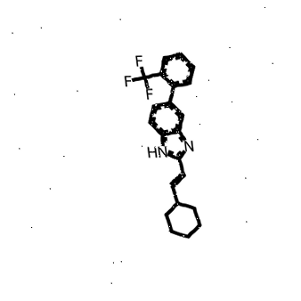 FC(F)(F)c1ccccc1-c1ccc2[nH]c(/C=C/C3CCCCC3)nc2c1